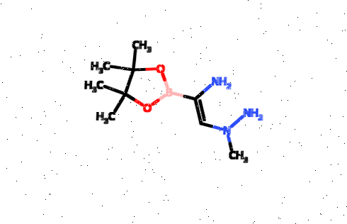 CN(N)/C=C(\N)B1OC(C)(C)C(C)(C)O1